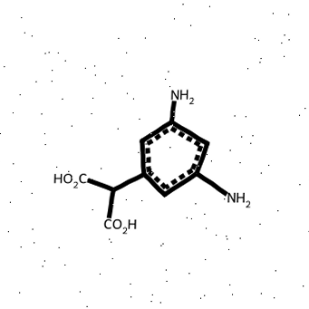 Nc1cc(N)cc(C(C(=O)O)C(=O)O)c1